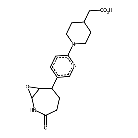 O=C(O)CC1CCN(c2ccc(C3CCC(=O)NC4OC43)cn2)CC1